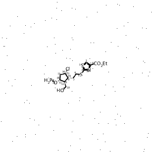 CCOC(=O)c1csc(SCC[C@@H]2[C@@H](CO)[C@H](OP)C[C@@H]2Cl)n1